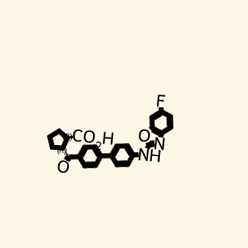 O=C(O)[C@@H]1CCC[C@H]1C(=O)c1ccc(-c2ccc(Nc3nc4ccc(F)cc4o3)cc2)cc1